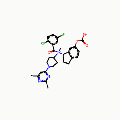 Cc1cc(N2CCC([N+](C)(C(=O)c3cc(F)ccc3Cl)[C@@H]3CCc4ccc(OC(=O)O)cc43)CC2)nc(C)n1